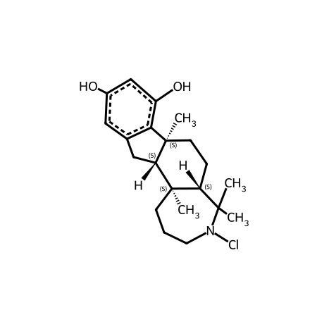 CC1(C)[C@H]2CC[C@]3(C)c4c(O)cc(O)cc4C[C@H]3[C@]2(C)CCCN1Cl